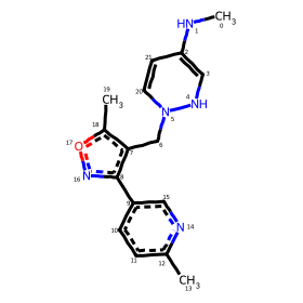 CNC1=CNN(Cc2c(-c3ccc(C)nc3)noc2C)C=C1